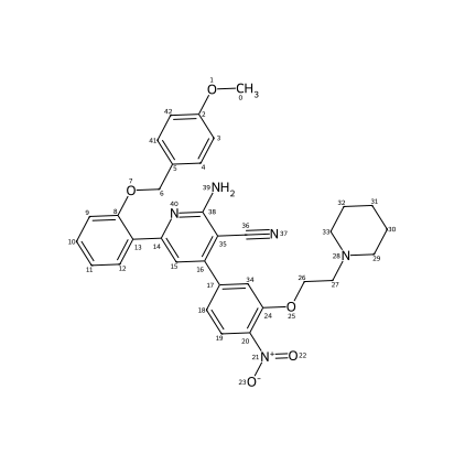 COc1ccc(COc2ccccc2-c2cc(-c3ccc([N+](=O)[O-])c(OCCN4CCCCC4)c3)c(C#N)c(N)n2)cc1